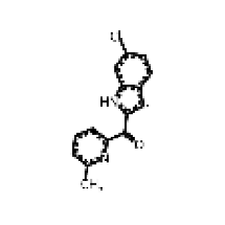 Cc1cccc(C(=O)c2[c]c3ccc(Cl)cc3[nH]2)n1